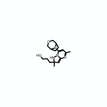 CC1=NC2=CC(C)(CCCO)NN2C(N2C3CCC2COC3)=C1